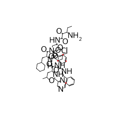 CCC(N)C(=O)C(=O)NC(=O)CN(C(=O)[C@H](CC1CCCCC1)NC(=O)[C@@H](NC(=O)[C@H](CC(C)C)NC(=O)c1cnccn1)[C@@H](C)CC)S(=O)(=O)c1cc(C(=O)NCc2ccccc2)ccc1Cl